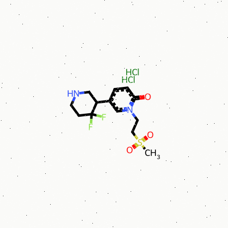 CS(=O)(=O)CCn1cc(C2CNCCC2(F)F)ccc1=O.Cl.Cl